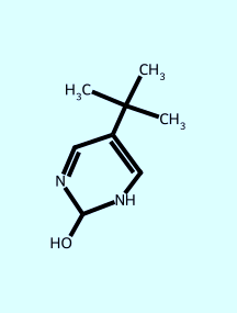 CC(C)(C)C1=CNC(O)N=C1